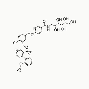 O=C(NC[C@H](O)[C@@H](O)[C@H](O)[C@H](O)CO)c1ccc(OCc2ccc(Cl)c(COC3(c4cnccc4-c4ccccc4OC4CC4)CC3)c2)nc1